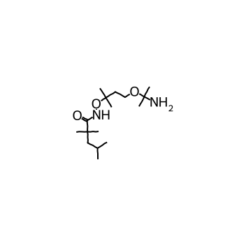 CC(C)CC(C)(C)C(=O)NOC(C)(C)CCOC(C)(C)N